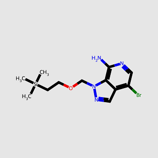 C[Si](C)(C)CCOCn1ncc2c(Br)cnc(N)c21